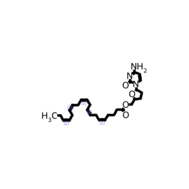 CC/C=C\C/C=C\C/C=C\C/C=C\C/C=C\CCCC(=O)OCC1CCC(n2ccc(N)nc2=O)O1